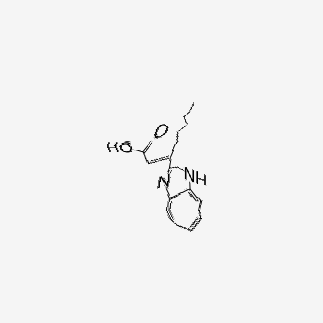 CCCCCC(=CC(=O)O)c1nc2ccccc2[nH]1